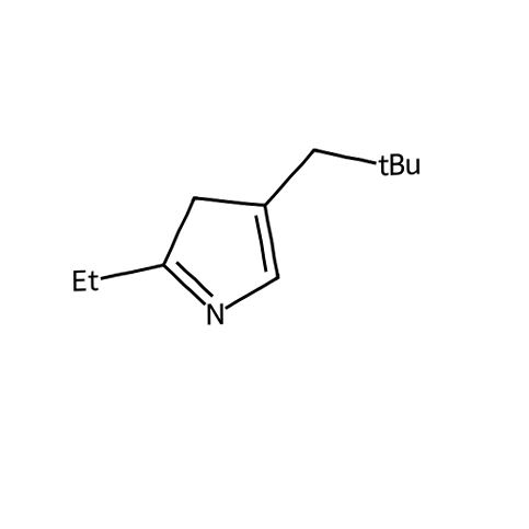 CCC1=NC=C(CC(C)(C)C)C1